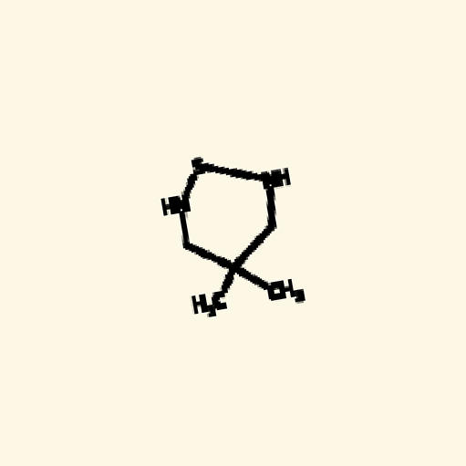 CC1(C)CNSNC1